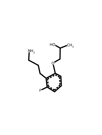 CC(O)COc1cccc(F)c1CCCN